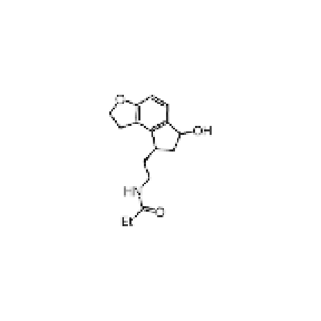 CCC(=O)NCC[C@@H]1CC(O)c2ccc3c(c21)CCO3